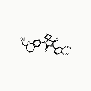 N#CC1C=CC(N2C(=O)C3(CCC3)N(c3ccc4c(c3)CCCC(CO)O4)C2=S)=CC1C(F)(F)F